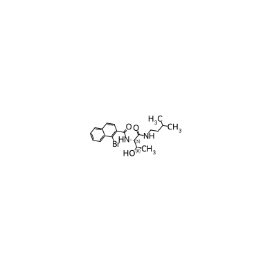 CC(C)CCNC(=O)[C@@H](NC(=O)c1ccc2ccccc2c1Br)[C@@H](C)O